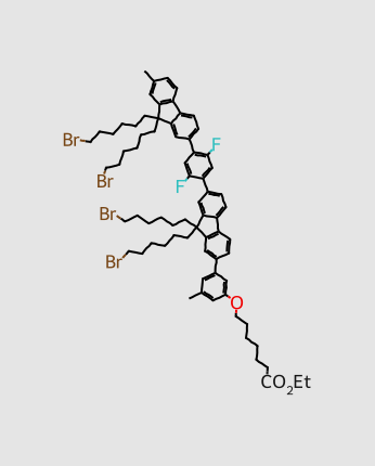 CCOC(=O)CCCCCCOc1cc(C)cc(-c2ccc3c(c2)C(CCCCCCBr)(CCCCCCBr)c2cc(-c4cc(F)c(-c5ccc6c(c5)C(CCCCCCBr)(CCCCCCBr)c5cc(C)ccc5-6)cc4F)ccc2-3)c1